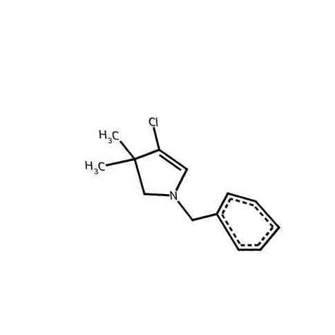 CC1(C)CN(Cc2ccccc2)C=C1Cl